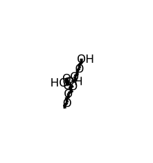 CCOCCOCCOCCOCCOCCO.O=S(=O)(O)O